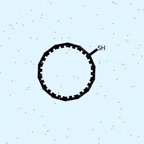 Sc1ccccccccccccc1